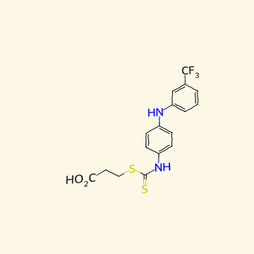 O=C(O)CCSC(=S)Nc1ccc(Nc2cccc(C(F)(F)F)c2)cc1